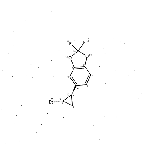 CC[C@H]1C[C@@H]1c1ccc2c(c1)OC(F)(F)O2